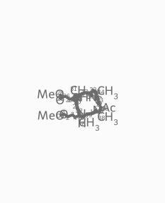 COOCCCc1c(C)c2cc3nc(cc4[nH]c(cc5nc(cc1[nH]2)C(CCC(=O)OC)=C5C)cc4C)C(C(C)=O)=C3C